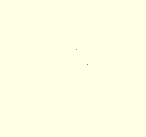 C=CCOC(=O)[C@]1(C)[C@@H](n2nc(C(=O)OCC)cc2C)CC[C@@]2(C)[C@H]1CC[C@]1(C)[C@@H]2C(=O)C=C2[C@@H]3C[C@@](C)(C(=O)OC(c4ccccc4)c4ccccc4)CC[C@]3(C)CC[C@]21C